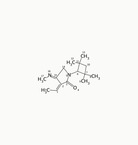 C/C=C1/C(=O)N(C2C(C)(C)CC2(C)C)C/C1=N/C